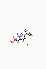 CC(C)C(C)CC(C)C(N)CC(=O)O